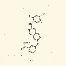 CNC(=O)c1cc(Oc2ccc3nc(Nc4ccc(Br)cc4F)ncc3c2)ccn1